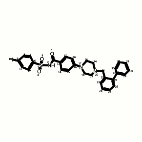 O=C(NS(=O)(=O)c1ccc(I)cc1)c1ccc(N2CCN(Cc3ccccc3-c3ccccc3)CC2)cc1